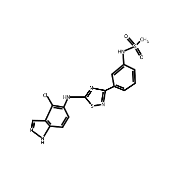 CS(=O)(=O)Nc1cccc(-c2nsc(Nc3ccc4[nH]ncc4c3Cl)n2)c1